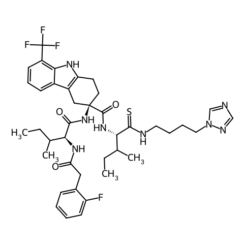 CCC(C)[C@H](NC(=O)Cc1ccccc1F)C(=O)N[C@]1(C(=O)N[C@H](C(=S)NCCCCn2cncn2)C(C)CC)CCc2[nH]c3c(C(F)(F)F)cccc3c2C1